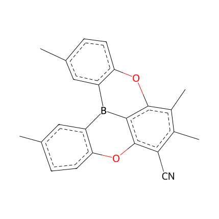 Cc1ccc2c(c1)B1c3cc(C)ccc3Oc3c(C#N)c(C)c(C)c(c31)O2